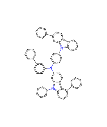 c1ccc(-c2cccc(N(c3ccc(-n4c5ccccc5c5ccc(-c6ccccc6)cc54)cc3)c3ccc4c5c(-c6ccccc6)cccc5n(-c5ccccc5)c4c3)c2)cc1